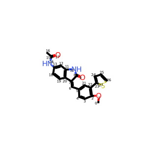 COc1ccc(C=C2C(=O)Nc3cc(NC(C)=O)ccc32)cc1-c1cccs1